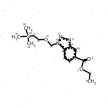 CCOC(=O)c1ccc2c(c1)nnn2COCC[Si](C)(C)C